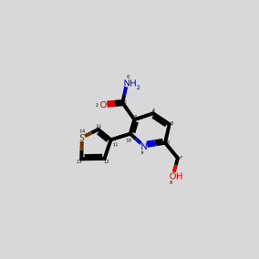 NC(=O)c1ccc(CO)nc1-c1ccsc1